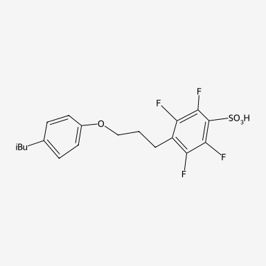 CCC(C)c1ccc(OCCCc2c(F)c(F)c(S(=O)(=O)O)c(F)c2F)cc1